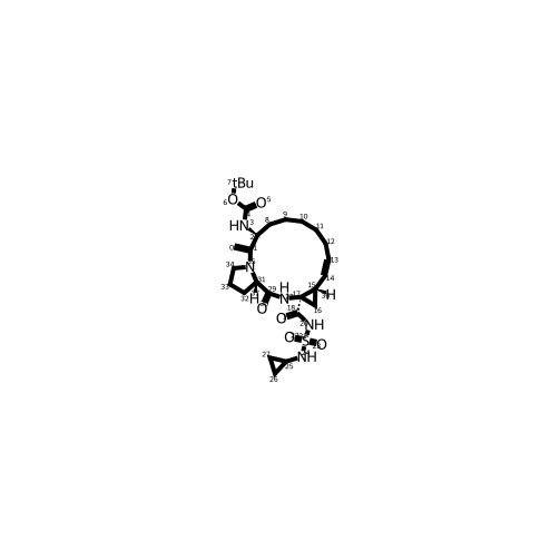 C=C1[C@@H](NC(=O)OC(C)(C)C)CCCCC/C=C\[C@@H]2C[C@@]2(C(=O)NS(=O)(=O)NC2CC2)NC(=O)[C@@H]2CCCN12